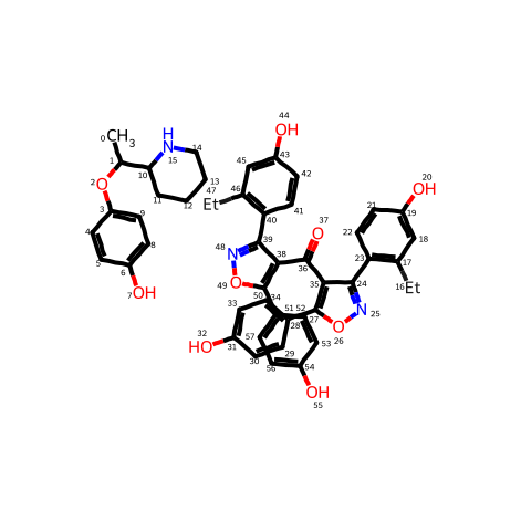 CC(Oc1ccc(O)cc1)C1CCCCN1.CCc1cc(O)ccc1-c1noc(-c2ccc(O)cc2)c1C(=O)c1c(-c2ccc(O)cc2CC)noc1-c1ccc(O)cc1